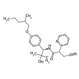 CCCC(C)COc1ccc([C@@H](NC(=O)C(CC#N)c2ccccn2)C(C)(C)O)cc1